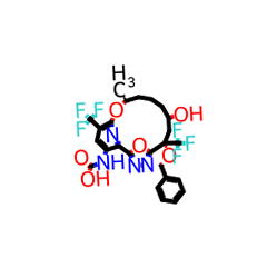 C[C@@H]1CCCC(O)C[C@](OCc2ccccc2)(C(F)(F)F)c2nnc(o2)-c2nc(c(C(F)(F)F)cc2NC(=O)O)O1